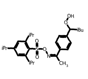 CCC(C)C(OO)c1ccc(/C(C)=N\OS(=O)(=O)c2c(C(C)C)cc(C(C)C)cc2C(C)C)cc1